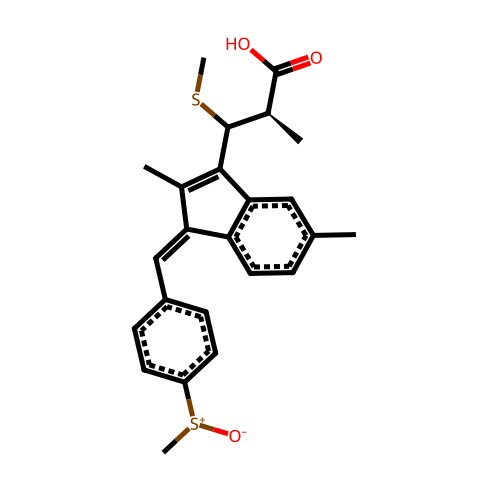 CSC(C1=C(C)/C(=C/c2ccc([S+](C)[O-])cc2)c2ccc(C)cc21)[C@H](C)C(=O)O